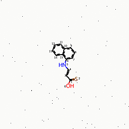 OC(=S)C=CNc1cccc2ccccc12